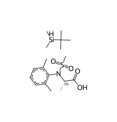 C[SiH](C)C(C)(C)C.Cc1cccc(C)c1N([C@@H](C)C(=O)O)S(C)(=O)=O